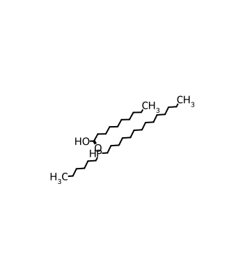 CCCCCCCCCC(=O)O.CCCCCCCCCCCCCCPCCCCCC